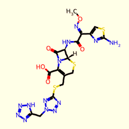 CON=C(C(=O)N[C@@H]1C(=O)N2C(C(=O)O)=C(CSc3nnn(Cc4nnn[nH]4)n3)CS[C@@H]12)c1csc(N)n1